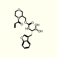 C=CC(=O)N1CCOCC1COC(=O)N[C@@H](Cc1coc2ccccc12)B(O)O